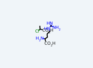 CC(Cl)C(=O)O.N=C(N)NCCCC(N)C(=O)O